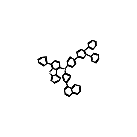 c1ccc(-c2ccc(-c3ccc(N(c4ccc(-c5cccc6ccccc56)cc4)c4ccc(-c5ccccc5)c5oc6ccccc6c45)cc3)cc2-c2ccccc2)cc1